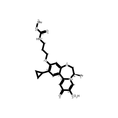 CC(C)[C@@H]1COc2cc(OCCCNC(=O)OC(C)(C)C)c(C3CC3)cc2-c2cc(=O)c(C(=O)O)cn21